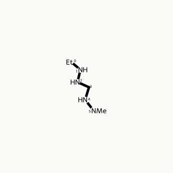 CCNNCNNC